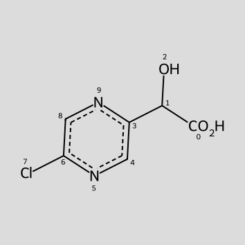 O=C(O)C(O)c1cnc(Cl)cn1